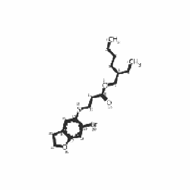 CCCCC(CC)COC(=O)CCSc1cc2c(cc1Br)OCC2